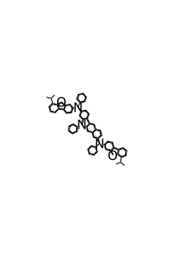 CC(C)c1cccc2c1oc1cc(N(c3ccccc3)c3ccc4cc5c6ccc(N(c7ccccc7)c7ccc8c(c7)oc7c(C(C)C)cccc78)cc6n(-c6ccccc6)c5cc4c3)ccc12